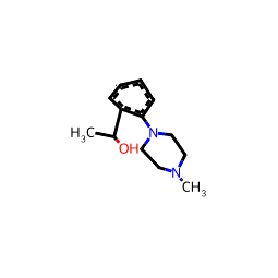 CC(O)c1c[c]ccc1N1CCN(C)CC1